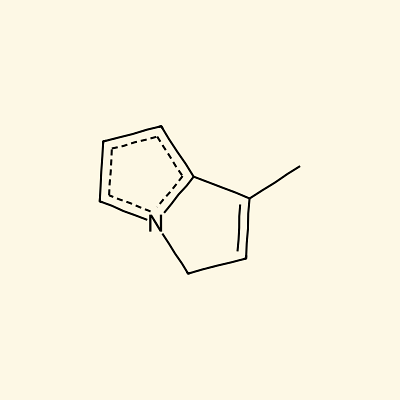 CC1=CCn2cccc21